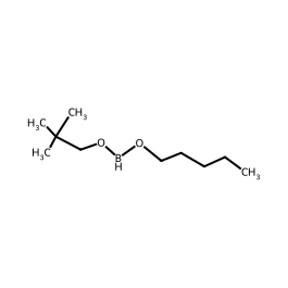 CCCCCOBOCC(C)(C)C